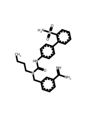 CCCCN(Cc1cccc(C(=N)N)c1)C(=O)Nc1ccc(-c2ccccc2S(N)(=O)=O)cc1